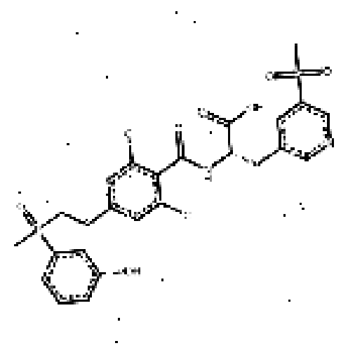 CP(=O)(CCc1cc(Cl)c(C(=O)N[C@@H](Cc2cncc(S(C)(=O)=O)c2)C(=O)O)c(Cl)c1)c1cccc(O)c1